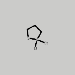 CCS1(CC)CCCS1